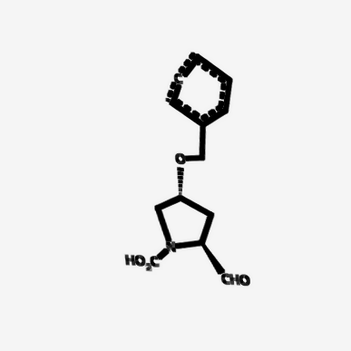 O=C[C@@H]1C[C@@H](OCc2ccccc2)CN1C(=O)O